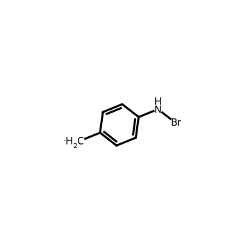 [CH2]c1ccc(NBr)cc1